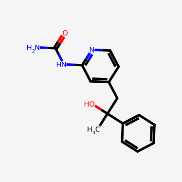 CC(O)(Cc1ccnc(NC(N)=O)c1)c1ccccc1